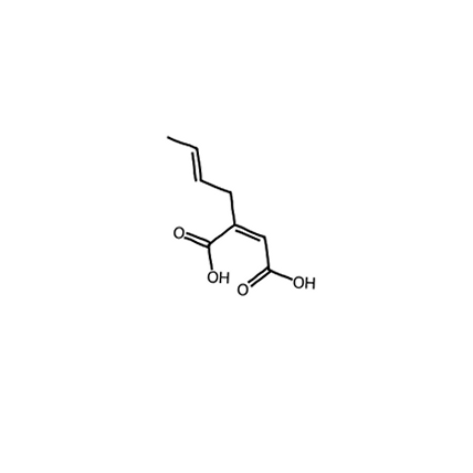 CC=CCC(=CC(=O)O)C(=O)O